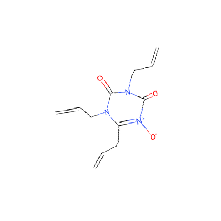 C=CCc1n(CC=C)c(=O)n(CC=C)c(=O)[n+]1[O-]